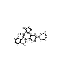 Fc1cccc(F)c1C1Nc2cnc(N3CCOCC3)cc2-n2ncc(F)c2N1